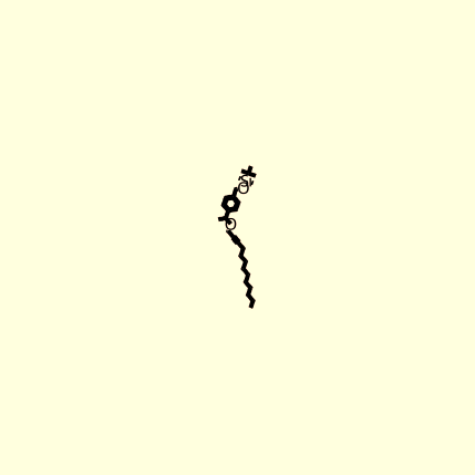 CCCCCCCCCCC#CCOC(C)c1ccc(CO[Si](C)(C)C(C)(C)C)cc1